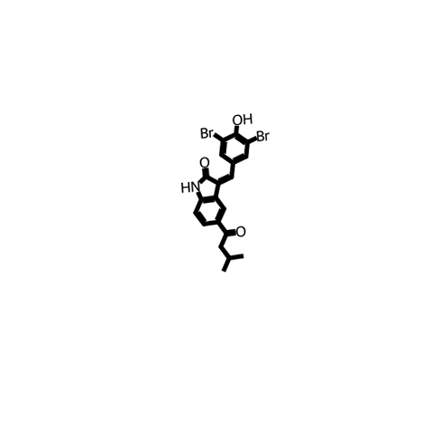 CC(C)CC(=O)c1ccc2c(c1)/C(=C/c1cc(Br)c(O)c(Br)c1)C(=O)N2